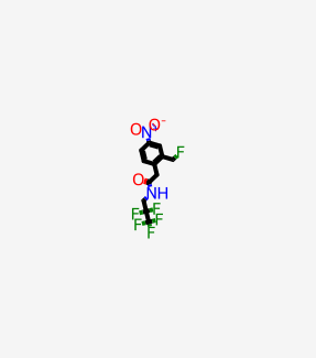 O=C(Cc1ccc([N+](=O)[O-])cc1CF)NCC(F)(F)C(F)(F)F